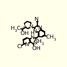 Cc1cc([C@@H](C)Nc2ccc(Cl)nc2C(=O)O)c2nc(N3CCC[C@H]([C@H](C)O)C3)c(C#N)nc2c1